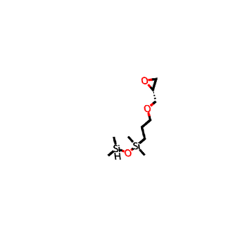 C[SiH](C)O[Si](C)(C)CCCOC[C@H]1CO1